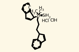 Cl.Cl.[CH3][Zr]([CH3])(=[SiH2])([CH2]CCC1C=Cc2ccccc21)[CH]1C=Cc2ccccc21